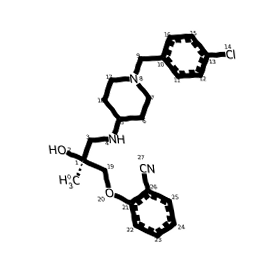 C[C@](O)(CNC1CCN(Cc2ccc(Cl)cc2)CC1)COc1ccccc1C#N